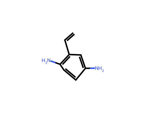 C=Cc1cc(N)ccc1N